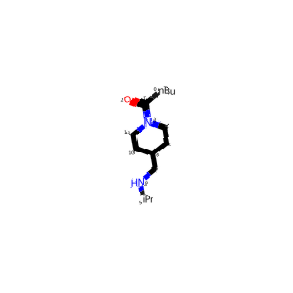 CCCCC(=O)N1CCC(CNC(C)C)CC1